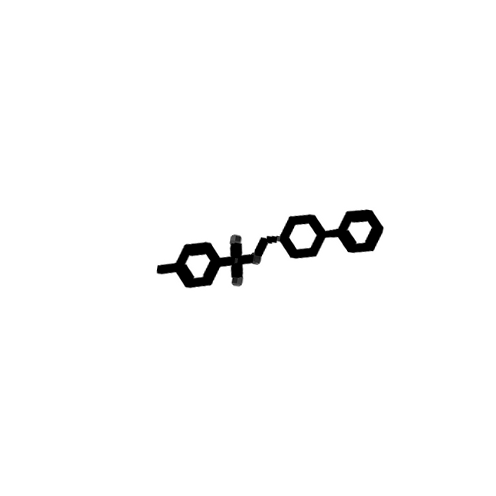 Cc1ccc(S(=O)(=O)OC[C@H]2CC[C@H](c3ccccc3)CC2)cc1